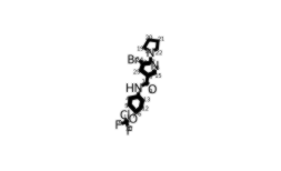 O=C(Nc1ccc(OC(F)(F)Cl)cc1)c1cnc(N2CCCC2)c(Br)c1